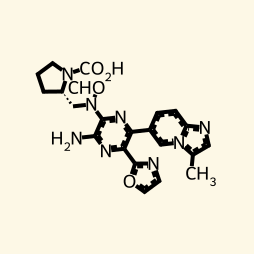 Cc1cnc2ccc(-c3nc(N(C=O)C[C@@H]4CCCN4C(=O)O)c(N)nc3-c3ncco3)cn12